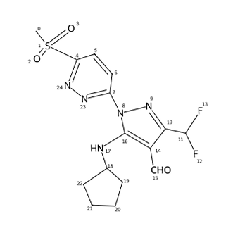 CS(=O)(=O)c1ccc(-n2nc(C(F)F)c(C=O)c2NC2CCCC2)nn1